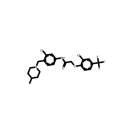 CC1CCN(Cc2ccc(NC(=O)COc3ccc(C(F)(F)F)cc3Cl)cc2Cl)CC1